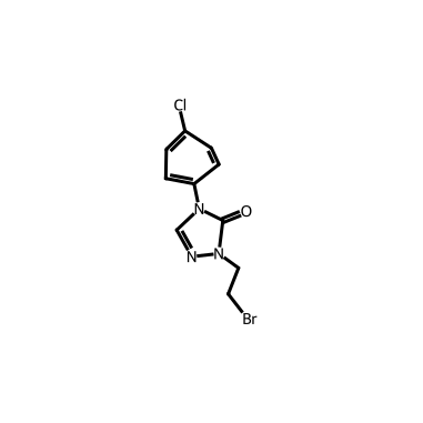 O=c1n(-c2ccc(Cl)cc2)cnn1CCBr